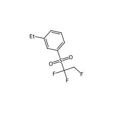 CCc1cccc(S(=O)(=O)C(F)(F)CF)c1